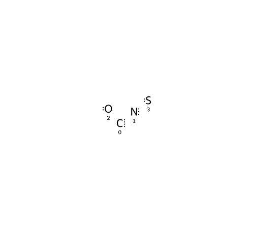 [C].[N].[O].[S]